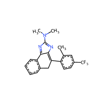 Cc1cc(C(F)(F)F)ccc1C1=C2N=C(N(C)C)N=C2c2ccccc2C1